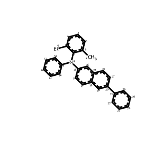 CCc1cccc(C)c1N(c1cc[c]cc1)c1ccc2cc(-c3ccccc3)ccc2c1